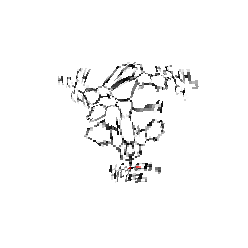 CC(C)(C)c1ccc2c(c1)c1ccccc1n2-c1c(C#N)c(-n2c3ccccc3c3cc(C(C)(C)C)ccc32)c(-n2c3ccccc3c3cc(C(C)(C)C)ccc32)c(-c2ccccc2)c1-n1c2ccccc2c2cc(C(C)(C)C)ccc21